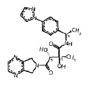 C[C@@H](NC(=O)[C@](C)(O)[C@@H](O)C(=O)N1Cc2nccnc2C1)c1ccc(-n2cccn2)cc1